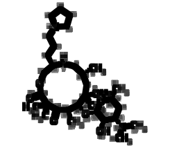 CO[C@]1(C)C[C@@H](C)CN[C@H](CCCN2CCCC2)COC(=O)C(C)(C)C(=O)[C@H](C)[C@H]1O[C@@H]1O[C@H](C)C[C@H](N(C)C)[C@H]1O